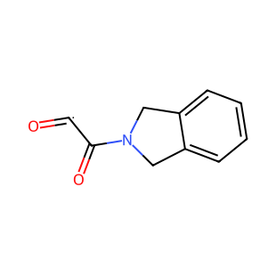 O=[C]C(=O)N1Cc2ccccc2C1